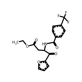 CCOC(=O)CC(NC(=O)c1ccc(C(F)(F)F)cc1)C(=O)c1ccco1